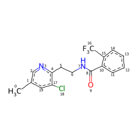 Cc1cnc(CCNC(=O)c2ccccc2C(F)(F)F)c(Cl)c1